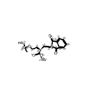 CC(C)(C)OC(=O)N(CCO[Si](C)(C)C(C)(C)C)CCN1C(=O)c2ccccc2C1=O